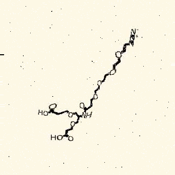 [N-]=[N+]=NCCOCCOCCOCCOCCC(=O)NC(COCCC(=O)O)COCCC(=O)O